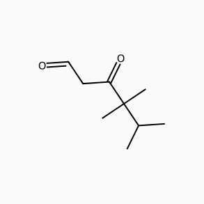 CC(C)C(C)(C)C(=O)CC=O